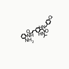 COc1ccc(CNC(C(=O)NC(C)C)c2ccc(/C=C/C(=O)Nc3ccccc3N)cc2)cc1